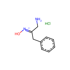 Cl.NC/C(Cc1ccccc1)=N/O